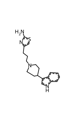 Nc1nc(CCCN2CCC(c3c[nH]c4ccccc34)CC2)cs1